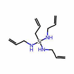 C=CCN[Si](CC=C)(NCC=C)NCC=C